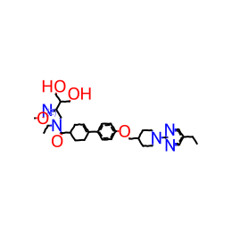 CCc1cnc(N2CCC(COc3ccc(C4=CCC(C(=O)N(CC)C/C(=N\OC)C(CO)CO)CC4)cc3)CC2)nc1